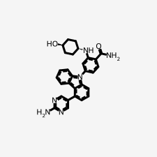 NC(=O)c1ccc(-n2c3ccccc3c3c(-c4cnc(N)nc4)cccc32)cc1N[C@H]1CC[C@H](O)CC1